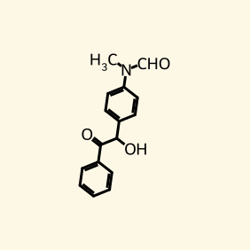 CN(C=O)c1ccc(C(O)C(=O)c2ccccc2)cc1